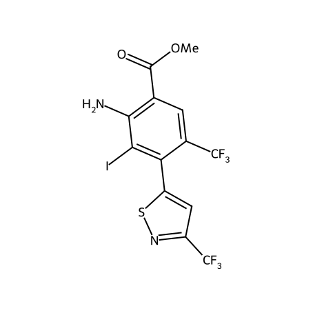 COC(=O)c1cc(C(F)(F)F)c(-c2cc(C(F)(F)F)ns2)c(I)c1N